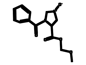 COCOC(=O)C1C[S+]([O-])CN1C(=O)c1ccccc1